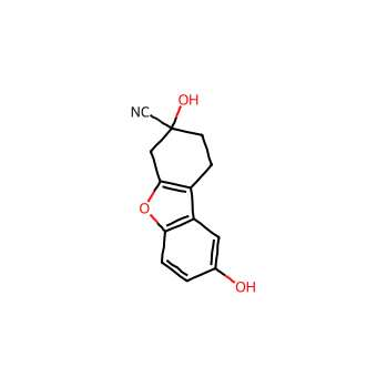 N#CC1(O)CCc2c(oc3ccc(O)cc23)C1